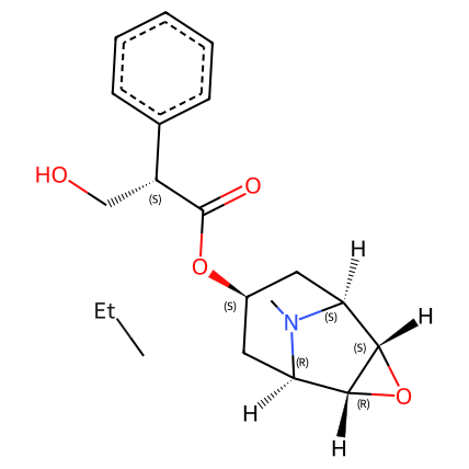 CCC.CN1[C@@H]2C[C@@H](OC(=O)[C@H](CO)c3ccccc3)C[C@H]1[C@@H]1O[C@@H]12